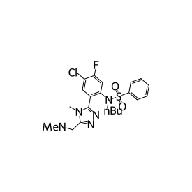 CCCCN(c1cc(F)c(Cl)cc1-c1nnc(CNC)n1C)S(=O)(=O)c1ccccc1